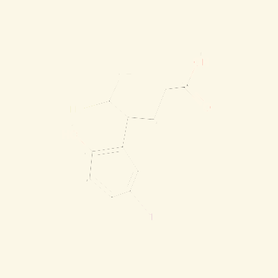 CC(S)C(CCC(=O)O)c1cc(I)ccc1O